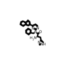 N[C@@H](Cc1c[nH]cn1)C(=O)N(Cc1ccccc1)c1nccc(-c2ccc3ccccc3c2)n1